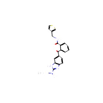 CN(C(=O)O)c1nc2ccc(C(=O)c3ccccc3C(=O)NCc3ccsc3)cc2[nH]1